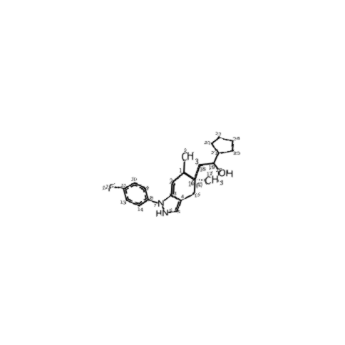 CC1C=C2C(=CNN2c2ccc(F)cc2)C[C@]1(C)CC(O)C1CCCC1